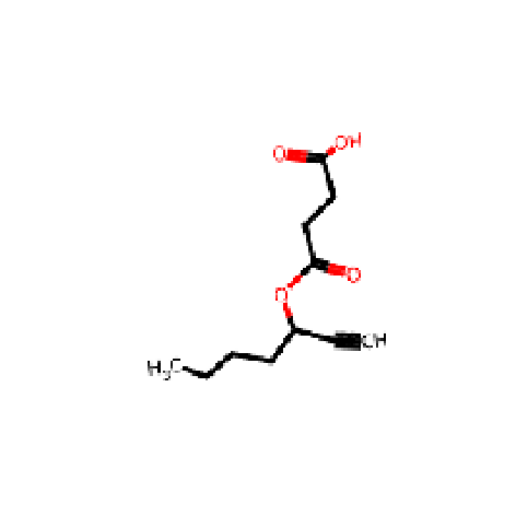 C#CC(CCCC)OC(=O)CCC(=O)O